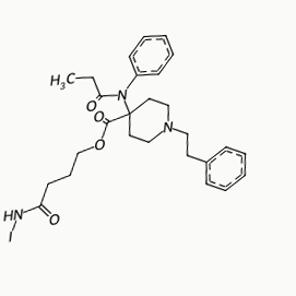 CCC(=O)N(c1ccccc1)C1(C(=O)OCCCC(=O)NI)CCN(CCc2ccccc2)CC1